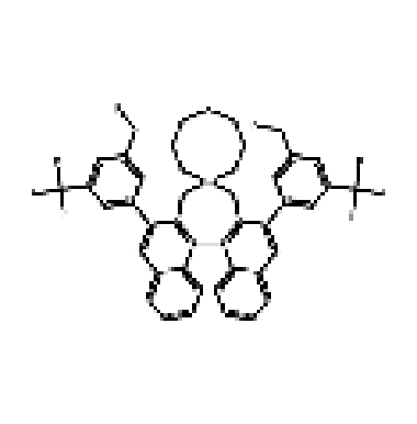 FCc1cc(-c2cc3ccccc3c3c2C[N+]2(CCCCCCC2)Cc2c(-c4cc(CF)cc(C(F)(F)F)c4)cc4ccccc4c2-3)cc(C(F)(F)F)c1